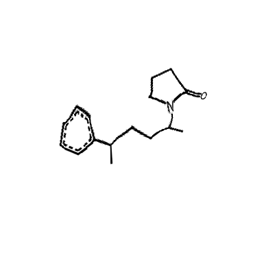 CC(CCC(C)N1CCCC1=O)c1ccccc1